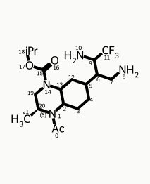 CC(=O)N1C2CCC(C(CN)C(N)C(F)(F)F)CC2N(C(=O)OC(C)C)C[C@@H]1C